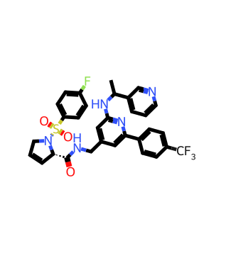 CC(Nc1cc(CNC(=O)[C@@H]2C=CCN2S(=O)(=O)c2ccc(F)cc2)cc(-c2ccc(C(F)(F)F)cc2)n1)c1cccnc1